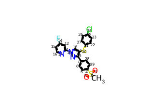 CS(=O)(=O)c1ccc(-c2nn(-c3cc(F)ccn3)cc2Sc2ccc(Cl)cc2)cc1